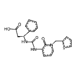 O=C(O)C[C@H](NC(=O)Nc1cccn(Cc2cccs2)c1=O)c1ccccc1